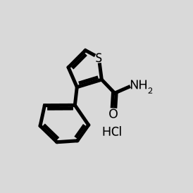 Cl.NC(=O)c1sccc1-c1ccccc1